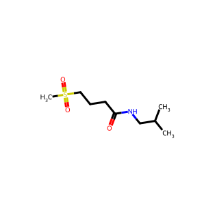 CC(C)CNC(=O)CCCS(C)(=O)=O